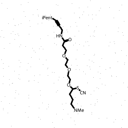 CCCC(C)C#CCNC(=O)CCOCCOCCOC(CCCNC)SC#N